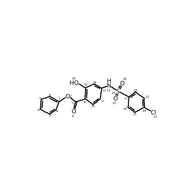 O=C(Oc1ccccc1)c1ccc(NS(=O)(=O)c2ccc(Cl)cc2)cc1O